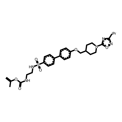 C=C(C)OC(=O)NCCNS(=O)(=O)c1ccc(-c2ccc(OCC3CCN(c4nc(C(C)C)no4)CC3)cc2)cc1